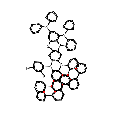 Fc1ccc(N2c3cc4c(cc3B3c5ccccc5N(c5c(-c6ccccc6)cccc5-c5ccccc5)c5cc(N(c6ccccc6)c6c(-c7ccccc7)cccc6-c6ccccc6)cc2c53)B2c3ccccc3N(c3ccccc3)c3cc(N(c5ccccc5)c5ccccc5)cc(c32)S4)c(F)c1